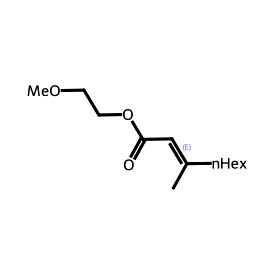 CCCCCC/C(C)=C/C(=O)OCCOC